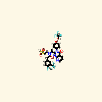 CC(c1nc2ncccc2c(=O)n1-c1ccc(OCC(F)(F)F)cc1)N(CCS(C)(=O)=O)C(=O)Cc1ccc(F)c(C(F)(F)F)c1